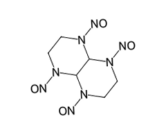 O=NN1CCN(N=O)C2C1N(N=O)CCN2N=O